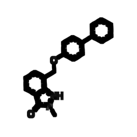 Cn1[nH]c2c(COc3ccc(-c4ccccc4)cc3)cccc2c1=O